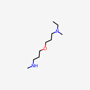 CCN(C)CCCOCCCNC